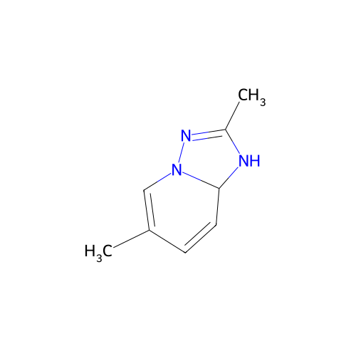 CC1=CN2N=C(C)NC2C=C1